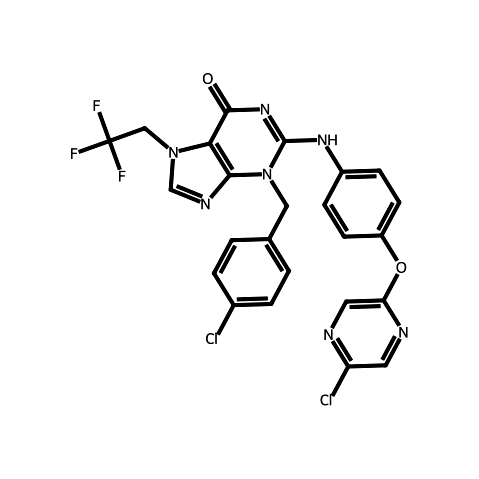 O=c1nc(Nc2ccc(Oc3cnc(Cl)cn3)cc2)n(Cc2ccc(Cl)cc2)c2ncn(CC(F)(F)F)c12